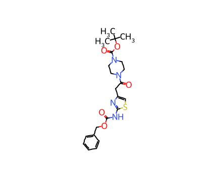 CC(C)(C)OC(=O)N1CCN(C(=O)Cc2csc(NC(=O)OCc3ccccc3)n2)CC1